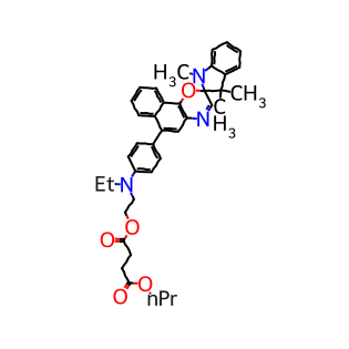 CCCOC(=O)CCC(=O)OCCN(CC)c1ccc(-c2cc3c(c4ccccc24)OC2(C=N3)N(C)c3ccccc3C2(C)C)cc1